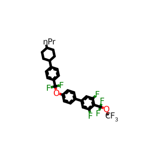 CCCC1CCC(c2ccc(C(F)(F)Oc3ccc(-c4cc(F)c(C(F)(F)OC(F)(F)F)c(F)c4)cc3)cc2)CC1